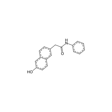 O=C(Cc1ccc2cc(O)ccc2c1)Nc1ccccc1